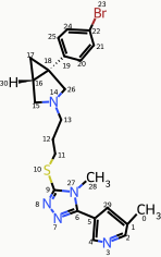 Cc1cncc(-c2nnc(SCCCN3C[C@@H]4C[C@@]4(c4ccc(Br)cc4)C3)n2C)c1